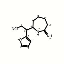 N#CCC(c1ccco1)C1CCCCC(=N)N1